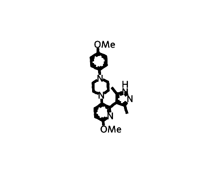 COc1ccc(N2CCN(c3ccc(OC)nc3-c3c(C)n[nH]c3C)CC2)cc1